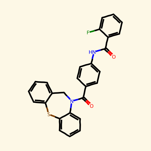 O=C(Nc1ccc(C(=O)N2Cc3ccccc3Sc3ccccc32)cc1)c1ccccc1F